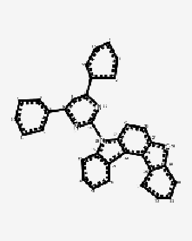 c1ccc(-c2cc(-c3ccccc3)nc(-n3c4ccccc4c4c5c(ccc43)oc3ccccc35)n2)cc1